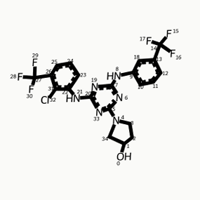 OC1CCN(c2nc(Nc3cccc(C(F)(F)F)c3)nc(Nc3cccc(C(F)(F)F)c3Cl)n2)C1